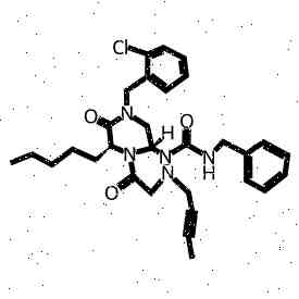 CC#CCN1CC(=O)N2[C@@H](CCCCC)C(=O)N(Cc3ccccc3Cl)C[C@@H]2N1C(=O)NCc1ccccc1